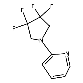 FC1(F)CN(c2ccccn2)CC1(F)F